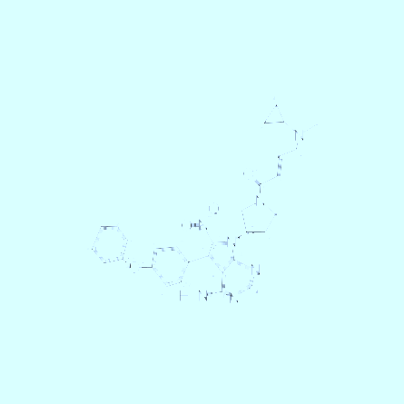 CN(CC=CC(=O)N1CC[C@@H](n2c([N+](=O)[O-])c(-c3ccc(Oc4ccccc4)cc3)c3c(N)ncnc32)C1)C1CC1